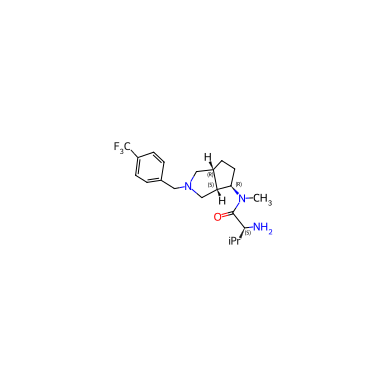 CC(C)[C@H](N)C(=O)N(C)[C@@H]1CC[C@H]2CN(Cc3ccc(C(F)(F)F)cc3)C[C@H]21